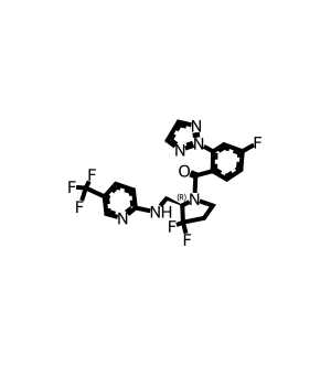 O=C(c1ccc(F)cc1-n1nccn1)N1CCC(F)(F)[C@H]1CNc1ccc(C(F)(F)F)cn1